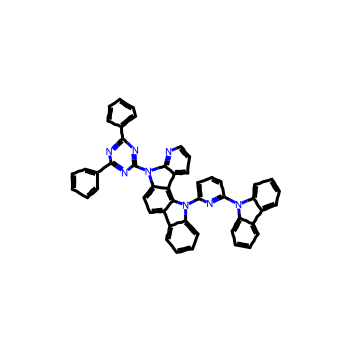 c1ccc(-c2nc(-c3ccccc3)nc(-n3c4ccc5c6ccccc6n(-c6cccc(-n7c8ccccc8c8ccccc87)n6)c5c4c4cccnc43)n2)cc1